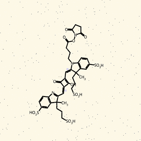 CC1(CCCS(=O)(=O)O)C(/C=C2\C(=O)C(/C=C3/N(CCCC(=O)ON4C(=O)CCC4=O)c4ccc(S(=O)(=O)O)cc4C3(C)CCCS(=O)(=O)O)=C2O)=Nc2ccc(S(=O)(=O)O)cc21